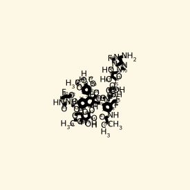 CC(C)C(=O)Nc1ccc([N+](=O)[O-])c(C(F)(F)F)c1.COc1cc([C@@H]2c3cc4c(cc3[C@@H](O[C@@H]3O[C@@H]5CO[C@@H](C)O[C@H]5[C@H](O)[C@H]3O)[C@H]3COC(=O)[C@H]23)OCO4)cc(OC)c1O.Nc1nc(F)nc2c1ncn2[C@@H]1O[C@H](COP(=O)(O)O)[C@@H](O)[C@@H]1O.O=c1[nH]cc(F)c(=O)[nH]1